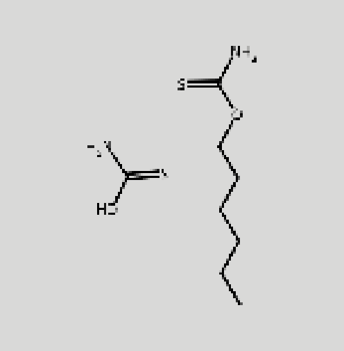 CCCCCCOC(N)=S.NC(O)=S